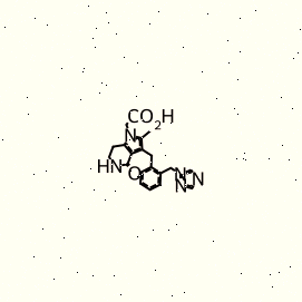 Cc1c(Cc2ccccc2Cn2cncn2)c2c(n1CC(=O)O)CCNC2=O